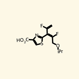 C=C(F)/C(=C(\F)COC(C)C)c1nc(C(=O)O)cs1